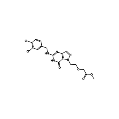 COC(=O)COCCn1ncc2nc(NCc3ccc(Cl)c(Cl)c3)[nH]c(=O)c21